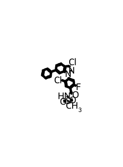 CS(=O)(=O)NC(=O)c1cc(Cl)c(-n2nc(Cl)c3ccc(-c4ccccc4)cc32)cc1F